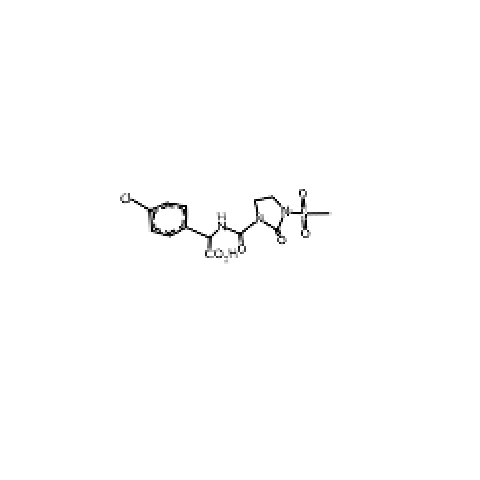 CS(=O)(=O)N1CCN(C(=O)NC(C(=O)O)c2ccc(Cl)cc2)C1=O